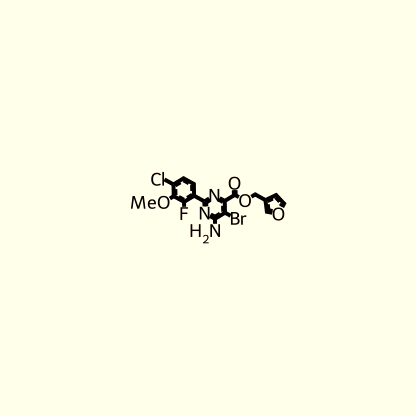 COc1c(Cl)ccc(-c2nc(N)c(Br)c(C(=O)OCc3ccoc3)n2)c1F